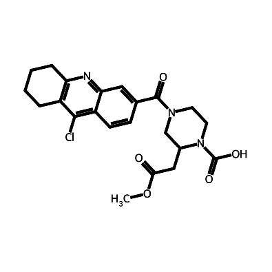 COC(=O)CC1CN(C(=O)c2ccc3c(Cl)c4c(nc3c2)CCCC4)CCN1C(=O)O